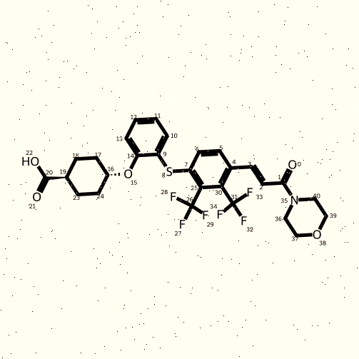 O=C(/C=C/c1ccc(Sc2ccccc2O[C@H]2CC[C@H](C(=O)O)CC2)c(C(F)(F)F)c1C(F)(F)F)N1CCOCC1